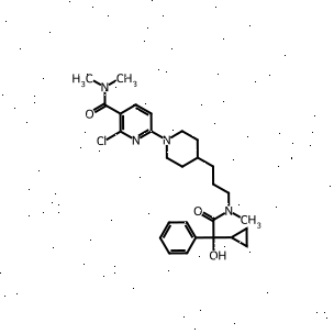 CN(C)C(=O)c1ccc(N2CCC(CCCN(C)C(=O)C(O)(c3ccccc3)C3CC3)CC2)nc1Cl